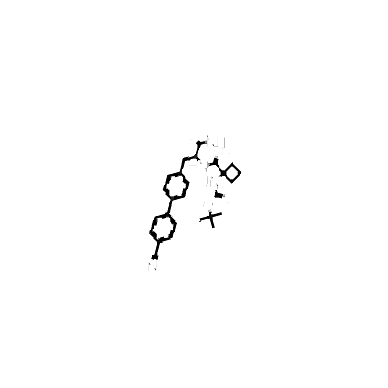 CC(C)(C)OC(=O)NC1(C(=O)NC(Cc2ccc(-c3ccc(C#N)cc3)cc2)C(N)=O)CCC1